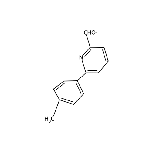 Cc1ccc(-c2cccc([C]=O)n2)cc1